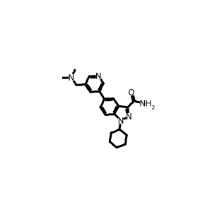 CN(C)Cc1cncc(-c2ccc3c(c2)c(C(N)=O)nn3C2CCCCC2)c1